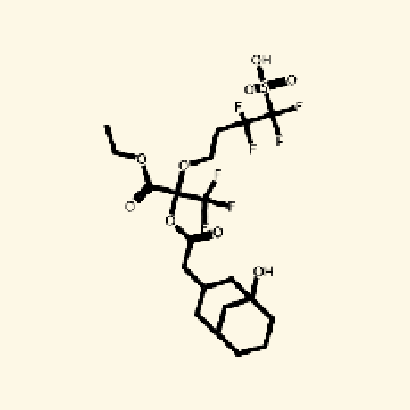 CCOC(=O)C(OCCC(F)(F)C(F)(F)S(=O)(=O)O)(OC(=O)CC1CC2CCCC(O)(C2)C1)C(F)(F)F